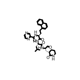 CC(C)C[C@H](NC(=O)[C@H](CCc1cccc2ccccc12)NC(=O)c1cnccn1)C(=O)N[C@H](C=O)C[C@@H]1CCCNC1=O